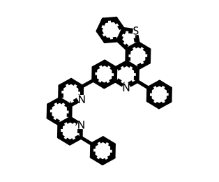 c1ccc(-c2ccc3ccc4ccc(-c5ccc6c(c5)nc(-c5ccccc5)c5ccc7sc8ccccc8c7c56)nc4c3n2)cc1